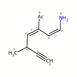 C#CC(C)/C=C(\C=C/N)C(C)=O